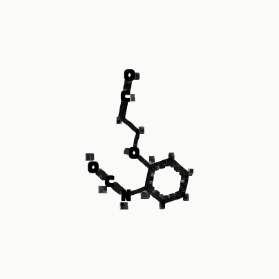 O=C=CCOc1ccccc1N=C=O